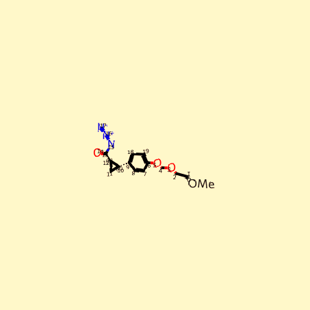 COCCOCOc1ccc([C@@H]2C[C@H]2C(=O)N=[N+]=[N-])cc1